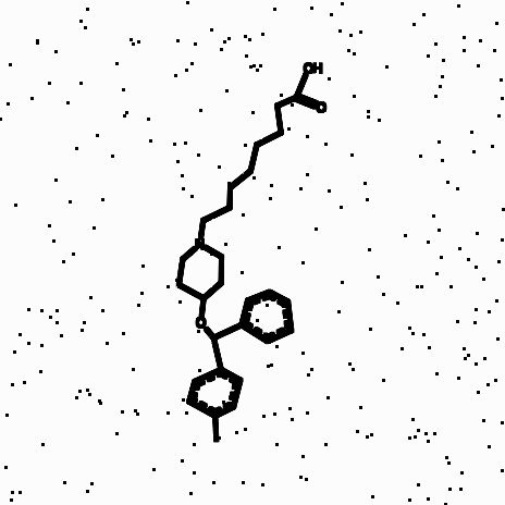 Cc1ccc(C(OC2CCN(CCCCCCCC(=O)O)CC2)c2ccccc2)cc1